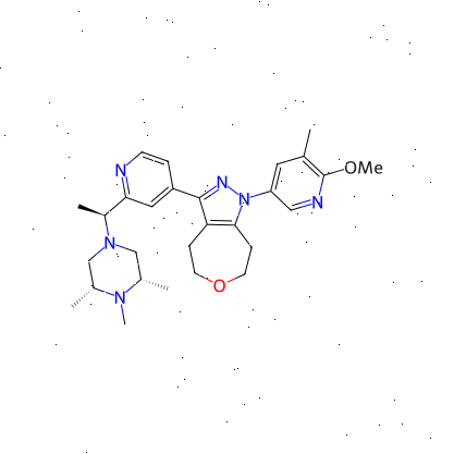 COc1ncc(-n2nc(-c3ccnc([C@H](C)N4C[C@@H](C)N(C)[C@@H](C)C4)c3)c3c2CCOCC3)cc1C